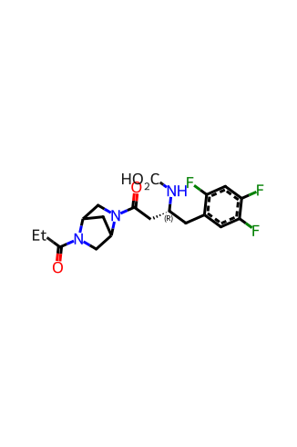 CCC(=O)N1CC2CC1CN2C(=O)C[C@@H](Cc1cc(F)c(F)cc1F)NC(=O)O